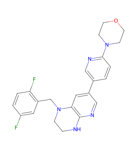 Fc1ccc(F)c(CN2CCNc3ncc(-c4ccc(N5CCOCC5)nc4)cc32)c1